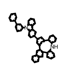 c1ccc(-c2cccc(-n3c4ccccc4c4cc(-c5cc6cc(c5)-c5cc7ccccc7cc5-c5ccccc5Nc5ccccc5-6)ccc43)c2)cc1